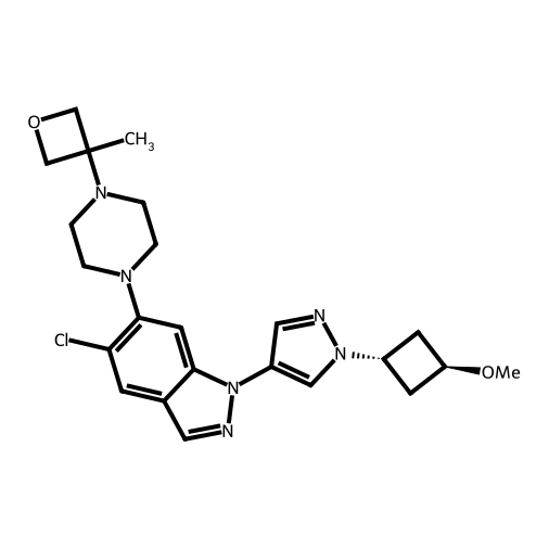 CO[C@H]1C[C@H](n2cc(-n3ncc4cc(Cl)c(N5CCN(C6(C)COC6)CC5)cc43)cn2)C1